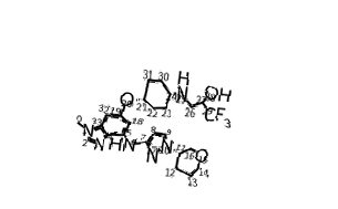 Cn1cnc2c(Nc3ccn([C@H]4CCCOC4)n3)cc(O[C@H]3CC[C@@H](NCC(O)C(F)(F)F)CC3)cc21